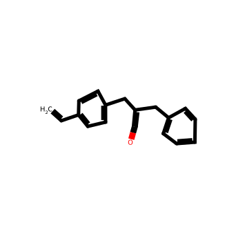 C=Cc1ccc(CC(=C=O)Cc2ccccc2)cc1